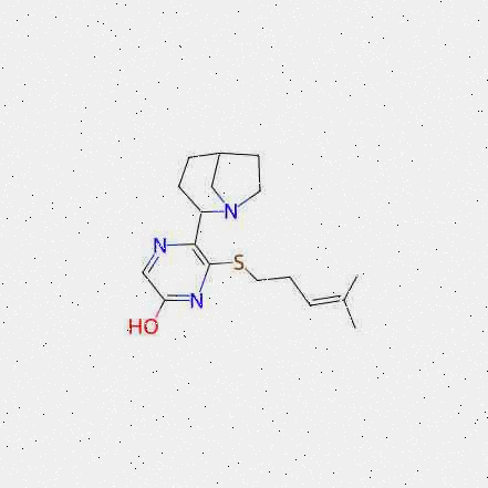 CC(C)=CCCSc1nc(O)cnc1C1CCC2CCN1C2